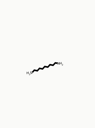 NCCCCCCCCC[SiH3]